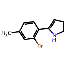 Cc1ccc(C2=CCCN2)c(Br)c1